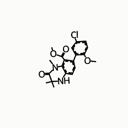 COC(=O)c1c(-c2cc(Cl)ccc2OC)ccc2c1N(C)C(=O)C(C)(C)N2